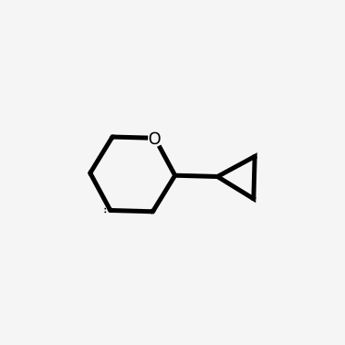 [C]1CCOC(C2CC2)C1